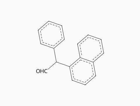 O=CC(c1ccccc1)c1cccc2ccccc12